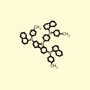 Cc1ccc(N(c2ccc(-n3c4cc(N(c5ccc(C)cc5)c5cccc6ccccc56)ccc4c4ccc(N(c5ccc(C)cc5)c5cccc6ccccc56)cc43)cc2)c2cccc3ccccc23)cc1